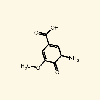 COC1=CC(C(=O)O)=CC(N)C1=O